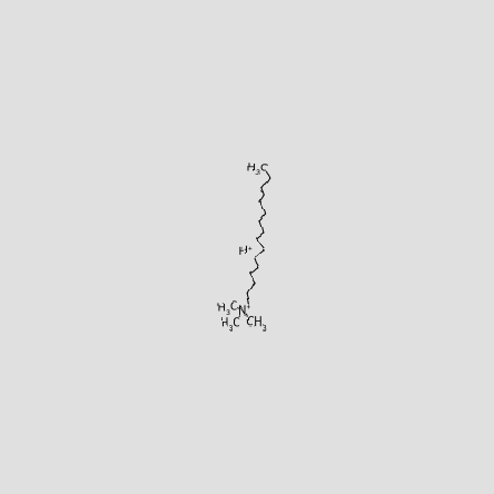 CCCCCCCCCCCCCCCC[N+](C)(C)C.[H+]